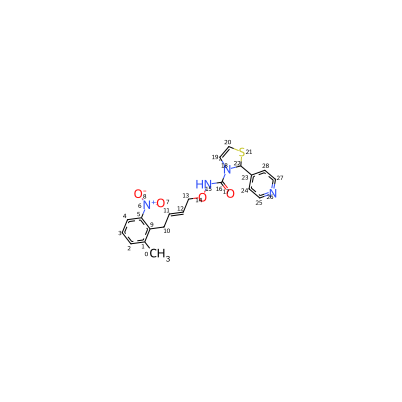 Cc1cccc([N+](=O)[O-])c1CC=CCONC(=O)N1[C]=CSC1c1ccncc1